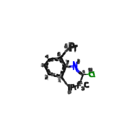 CC(C)c1cccc(C(C)C)c1/N=C(/Cl)C(F)(F)F